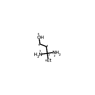 CCC(N)(N)CCO